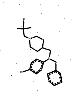 CC(C)(F)CN1CCC(CN(Cc2ccccc2)c2ccc(Br)cc2)CC1